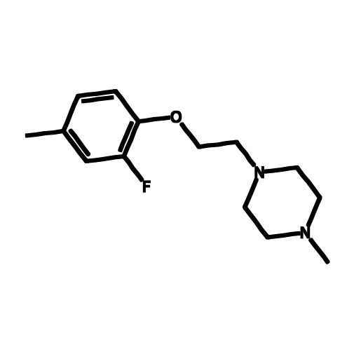 Cc1ccc(OCCN2CCN(C)CC2)c(F)c1